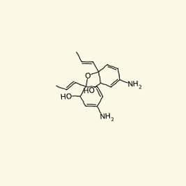 CC=CC1(OC2(C=CC)C=CC(N)=CC2O)C=CC(N)=CC1O